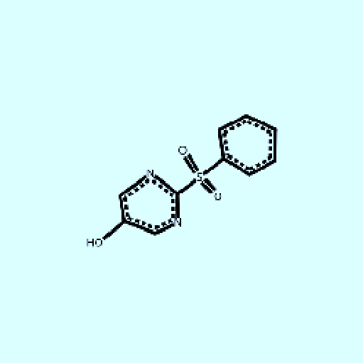 O=S(=O)(c1ccccc1)c1ncc(O)cn1